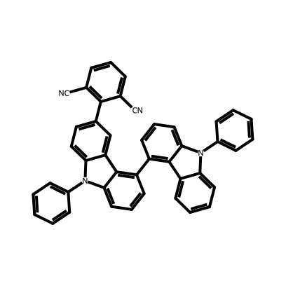 N#Cc1cccc(C#N)c1-c1ccc2c(c1)c1c(-c3cccc4c3c3ccccc3n4-c3ccccc3)cccc1n2-c1ccccc1